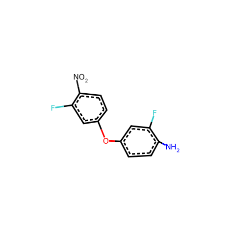 Nc1ccc(Oc2ccc([N+](=O)[O-])c(F)c2)cc1F